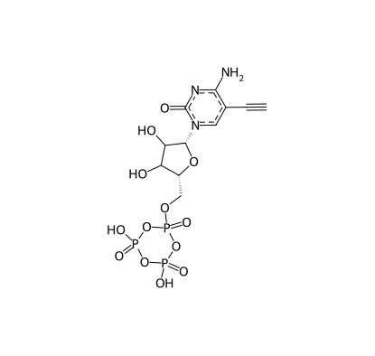 C#Cc1cn([C@@H]2O[C@H](COP3(=O)OP(=O)(O)OP(=O)(O)O3)C(O)C2O)c(=O)nc1N